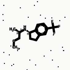 COC[C@@H](C)N[C@H]1CCc2cc(C(F)(F)F)ccc21